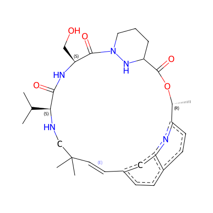 CC(C)[C@@H]1NCC(C)(C)/C=C/c2ccc3ccc(nc3c2)[C@@H](C)OC(=O)C2CCCN(N2)C(=O)[C@H](CO)NC1=O